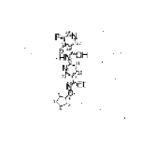 CC/C(=N\OC1CCCC1)c1ccc(NC(O)c2cncc(F)c2C)nc1